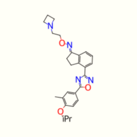 Cc1cc(-c2nc(-c3cccc4c3CC/C4=N\OCCN3CCC3)no2)ccc1OC(C)C